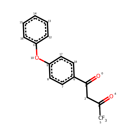 O=C(CC(=O)C(F)(F)F)c1ccc(Oc2ccccc2)cc1